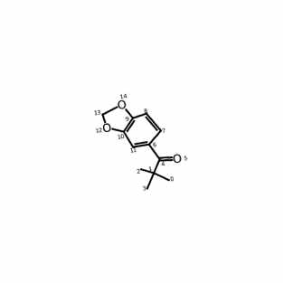 CC(C)(C)C(=O)c1ccc2c(c1)OCO2